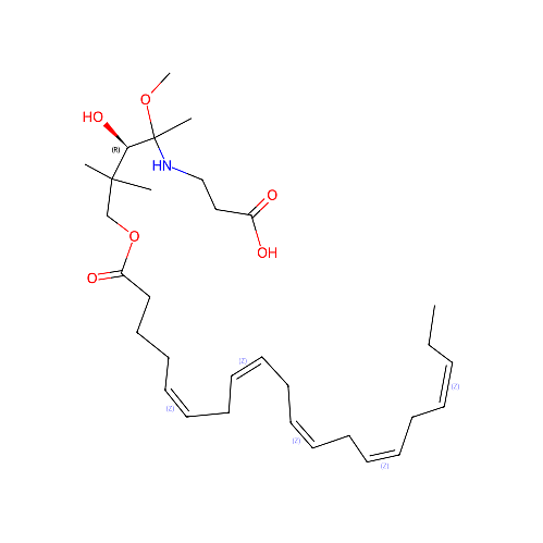 CC/C=C\C/C=C\C/C=C\C/C=C\C/C=C\CCCC(=O)OCC(C)(C)[C@@H](O)C(C)(NCCC(=O)O)OC